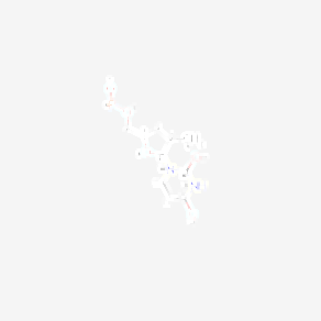 CC1CC(COP=O)OC1n1ccc(=O)[nH]c1=O